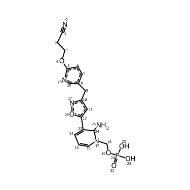 N#CCCOc1ccc(Cc2cc(C3=CC=CN(COP(=O)(O)O)C3N)on2)cn1